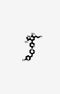 Bc1c(CCC(C)C)cc(-c2ccc(N3CCC(Cc4ccc(CC)nc4)CC3)nc2)c2c(C#N)cnn12